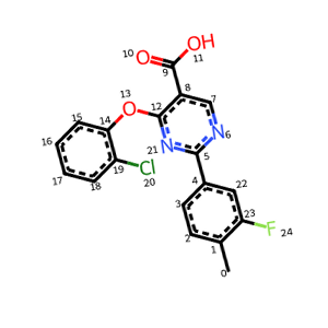 Cc1ccc(-c2ncc(C(=O)O)c(Oc3ccccc3Cl)n2)cc1F